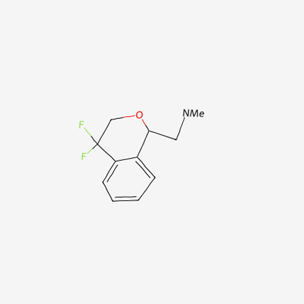 CNCC1OCC(F)(F)c2ccccc21